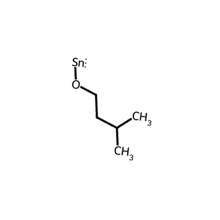 CC(C)CC[O][Sn]